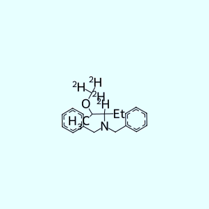 [2H]C([2H])([2H])OC(C)C([2H])(CC)N(Cc1ccccc1)Cc1ccccc1